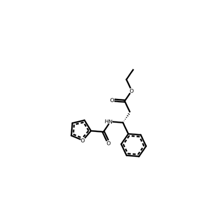 CCOC(=O)C[C@@H](NC(=O)c1ccco1)c1ccccc1